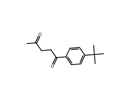 CC(=O)CCC(=O)c1ccc(C(C)(C)C)cc1